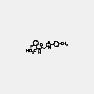 Cc1ccc(-c2nc(CC(=O)NC(C(=O)O)c3ccccc3F)cs2)cc1